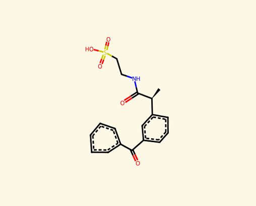 C[C@H](C(=O)NCCS(=O)(=O)O)c1cccc(C(=O)c2ccccc2)c1